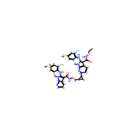 CCONC(=O)c1c(Nc2ccc(SC)cc2F)n(C)c2nc(C3CC3CONC(=O)c3c(Nc4ccc(SC)cc4F)n(C)c4ncccc34)ccc12